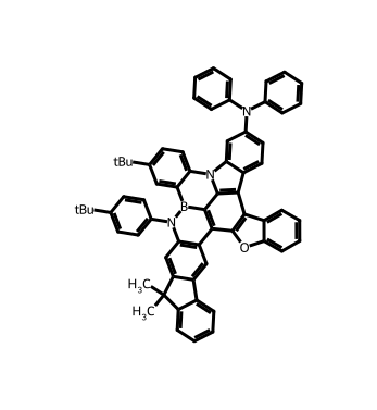 CC(C)(C)c1ccc(N2B3c4cc(C(C)(C)C)ccc4-n4c5cc(N(c6ccccc6)c6ccccc6)ccc5c5c6c(oc7ccccc76)c(c3c54)-c3cc4c(cc32)C(C)(C)c2ccccc2-4)cc1